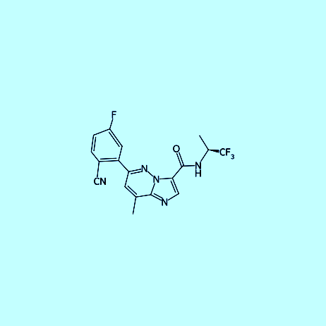 Cc1cc(-c2cc(F)ccc2C#N)nn2c(C(=O)N[C@@H](C)C(F)(F)F)cnc12